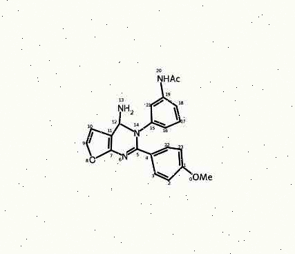 COc1ccc(C2=Nc3occc3C(N)N2c2cccc(NC(C)=O)c2)cc1